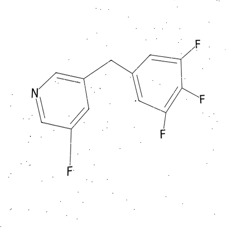 Fc1cncc(Cc2[c]c(F)c(F)c(F)c2)c1